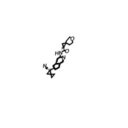 N#C[C@@]1(c2ccc3cnc(NC(=O)[C@@H]4CC45CCOCC5)cc3c2)CC12CC2